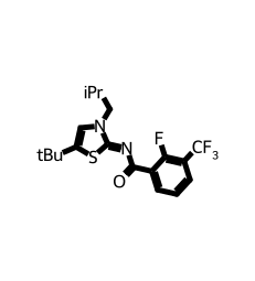 CC(C)Cn1cc(C(C)(C)C)sc1=NC(=O)c1cccc(C(F)(F)F)c1F